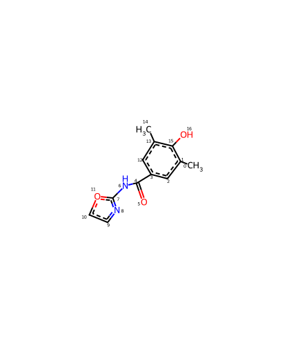 Cc1cc(C(=O)Nc2ncco2)cc(C)c1O